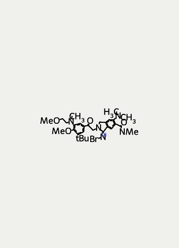 CNC(=O)c1cc2c(cc1N(C)C)CN(CC(=O)c1cc(N(C)CCOC)c(OC)c(C(C)(C)C)c1)/C2=N\Br